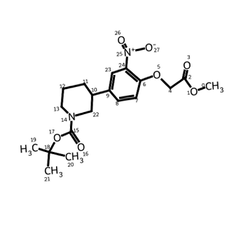 COC(=O)COc1ccc(C2CCCN(C(=O)OC(C)(C)C)C2)cc1[N+](=O)[O-]